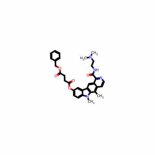 Cc1c2ccnc(C(=O)NCCN(C)C)c2cc2c3cc(OC(=O)CCC(=O)OCc4ccccc4)ccc3n(C)c12